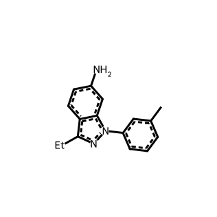 CCc1nn(-c2cccc(C)c2)c2cc(N)ccc12